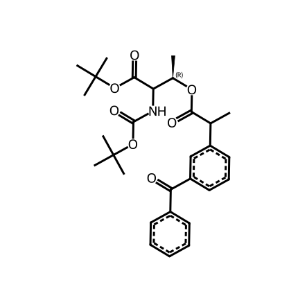 CC(C(=O)O[C@H](C)C(NC(=O)OC(C)(C)C)C(=O)OC(C)(C)C)c1cccc(C(=O)c2ccccc2)c1